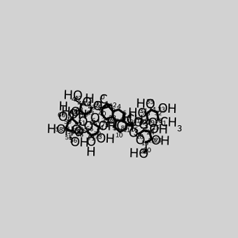 C=C1C[C@@]23CC[C@H]4[C@@](C)(CCC[C@@]4(C)C(=O)O[C@@H]4O[C@H](CO)[C@@H](O)[C@H](O)[C@H]4O[C@@H]4O[C@@H](C)[C@H](O)[C@@H](O)[C@H]4O)[C@@H]2CC[C@]1(O[C@@H]1O[C@H](CO)[C@@H](O)[C@H](O[C@@H]2O[C@H](CO)[C@@H](O)[C@H](O)[C@H]2O)[C@H]1O[C@@H]1O[C@H](CO)[C@@H](O)[C@H](O)[C@H]1O)C3